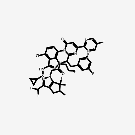 CC1Cc2c(C(F)F)nn(CC(=O)NC(Cc3cc(F)cc(F)c3)c3nc(-c4ncc(F)cn4)cc(=O)n3-c3ccc(Cl)c4c(NSC5CC5)nn(CCF)c34)c2C1(F)F